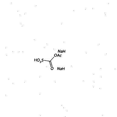 CC(=O)OC(=O)S(=O)(=O)O.[NaH].[NaH]